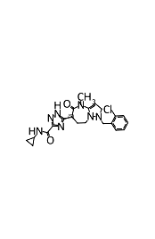 CN1C(=O)[C@H](c2nc(C(=O)NC3CC3)n[nH]2)CCN2C1=CCN2Cc1ccccc1Cl